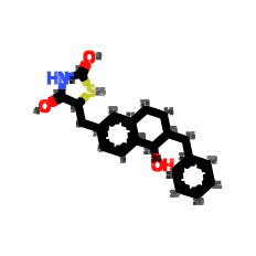 O=C1NC(=O)C(Cc2ccc3c(c2)CCC(Cc2ccccc2)C3O)S1